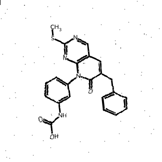 CSc1ncc2cc(Cc3ccccc3)c(=O)n(-c3cccc(NC(=O)O)c3)c2n1